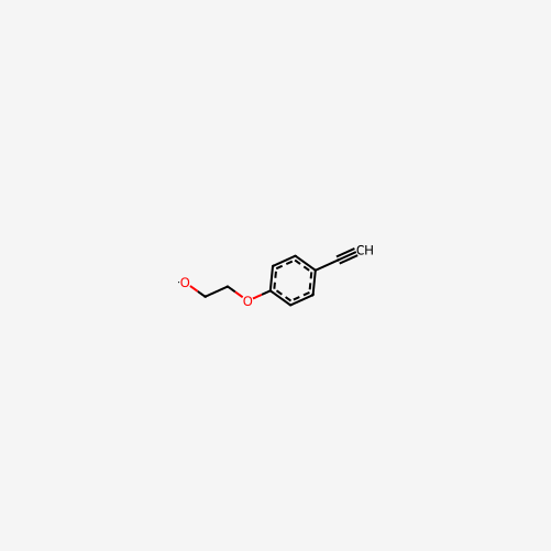 C#Cc1ccc(OCC[O])cc1